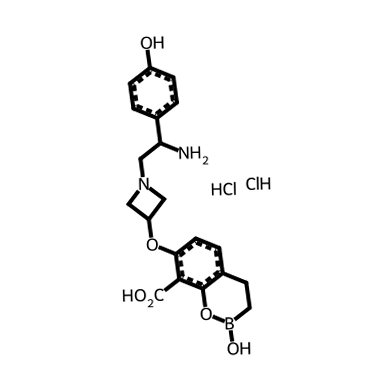 Cl.Cl.NC(CN1CC(Oc2ccc3c(c2C(=O)O)OB(O)CC3)C1)c1ccc(O)cc1